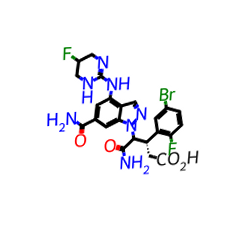 NC(=O)c1cc(NC2=NCC(F)CN2)c2cnn(C(C(N)=O)[C@@H](CC(=O)O)c3cc(Br)ccc3F)c2c1